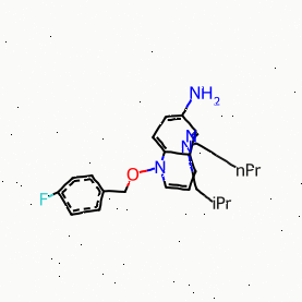 CCCC1N=C2C(N)=CC=C3N(OCc4ccc(F)cc4)C=CCC32N1CC(C)C